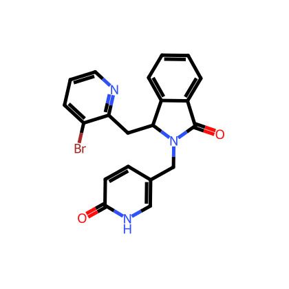 O=C1c2ccccc2C(Cc2ncccc2Br)N1Cc1ccc(=O)[nH]c1